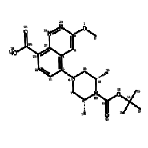 COc1cc2c(N3C[C@@H](C)N(C(=O)OC(C)(C)C)[C@@H](C)C3)ccc(C(=O)O)c2nn1